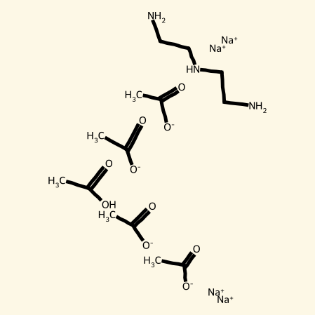 CC(=O)O.CC(=O)[O-].CC(=O)[O-].CC(=O)[O-].CC(=O)[O-].NCCNCCN.[Na+].[Na+].[Na+].[Na+]